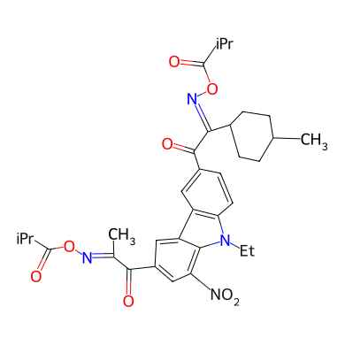 CCn1c2ccc(C(=O)/C(=N/OC(=O)C(C)C)C3CCC(C)CC3)cc2c2cc(C(=O)/C(C)=N/OC(=O)C(C)C)cc([N+](=O)[O-])c21